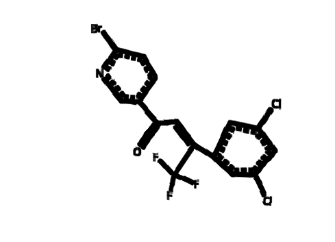 O=C(C=C(c1cc(Cl)cc(Cl)c1)C(F)(F)F)c1ccc(Br)nc1